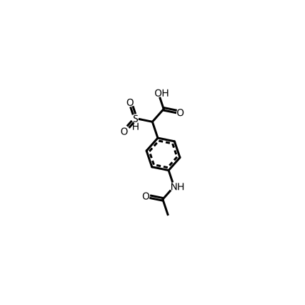 CC(=O)Nc1ccc(C(C(=O)O)[SH](=O)=O)cc1